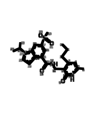 CCCc1cc(C)[nH]c(=O)c1CNC(=O)c1cc(S(C)(=O)=O)cc2c1ccn2C(C)C